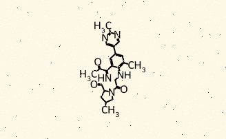 CC(=O)C(=N)c1cc(-c2cnc(C)nc2)cc(C)c1NCC(=O)N1CC(C)CC1C=O